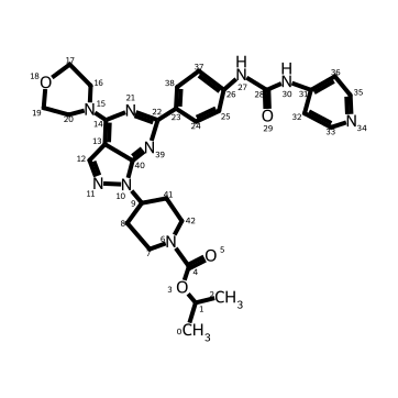 CC(C)OC(=O)N1CCC(n2ncc3c(N4CCOCC4)nc(-c4ccc(NC(=O)Nc5ccncc5)cc4)nc32)CC1